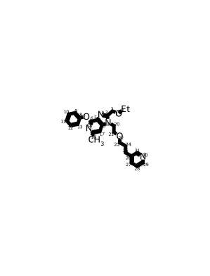 CCOCc1nc2c(Oc3ccccc3)nc(C)cc2n1CCOCCCc1cccnc1